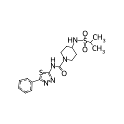 CC(C)S(=O)(=O)NC1CCN(C(=O)Nc2nnc(-c3ccccc3)s2)CC1